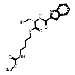 CC(C)C[C@H](NC(=O)c1cc2ccccc2s1)C(=O)NCCCCNC(=O)OC(C)(C)C